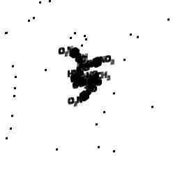 C[C@@H](O)[C@H]1C(=O)N2C(C(=O)OCc3ccc([N+](=O)[O-])cc3)=C(S[C@H]3C[C@@H](C(=O)N4CC[C@H](NC(=O)CNC(=NC(=O)OCc5ccc([N+](=O)[O-])cc5)NC(=O)OCc5ccc([N+](=O)[O-])cc5)C4)N(C)C3)[C@H](C)[C@H]12